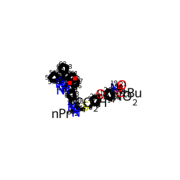 CCCc1nc(CSCc2ccc(Oc3ccc([N+](=O)[O-])c(N(C)C(=O)OC(C)(C)C)c3)cc2)c(C(=O)O)n1Cc1ccc(-c2ccccc2-c2nnnn2C(c2ccccc2)(c2ccccc2)c2ccccc2)cc1